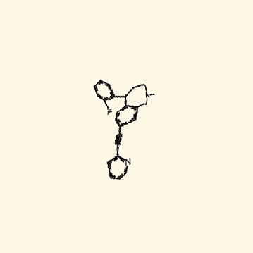 CN1CCC(c2ccccc2F)c2ccc(C#Cc3ccccn3)cc2C1